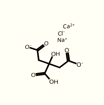 O=C([O-])CC(O)(CC(=O)[O-])C(=O)O.[Ca+2].[Cl-].[Na+]